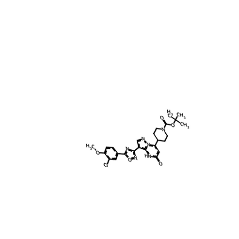 COc1ccc(-c2nc(-c3cnn4c(C5CCN(C(=O)OC(C)(C)C)CC5)cc(=O)[nH]c34)no2)cc1Cl